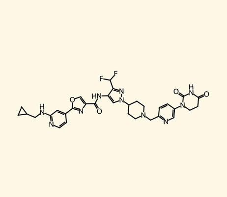 O=C1CCN(c2ccc(CN3CCC(n4cc(NC(=O)c5coc(-c6ccnc(NCC7CC7)c6)n5)c(C(F)F)n4)CC3)nc2)C(=O)N1